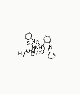 COC(=O)N(NC(=O)c1c(OC)c(-c2ccccc2)nc2ccccc12)c1nc2ccccc2s1